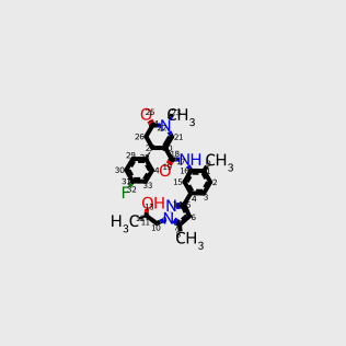 Cc1ccc(-c2cc(C)n(C[C@@H](C)O)n2)cc1NC(=O)C1=CN(C)C(=O)C[C@H]1c1ccc(F)cc1